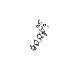 CC(C(N)=O)C1CN(c2ccc(-c3ccc(-n4nccn4)nc3)c(F)c2)C(=O)O1